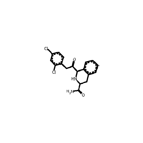 NC(=O)C1Cc2c[c]ccc2C(C(=O)Cc2ccc(Cl)cc2Cl)N1